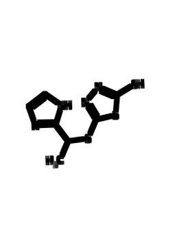 CC(Sc1nnc(S)s1)c1ncc[nH]1